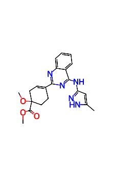 COC(=O)C1(OC)CC=C(c2nc(Nc3cc(C)[nH]n3)c3ccccc3n2)CC1